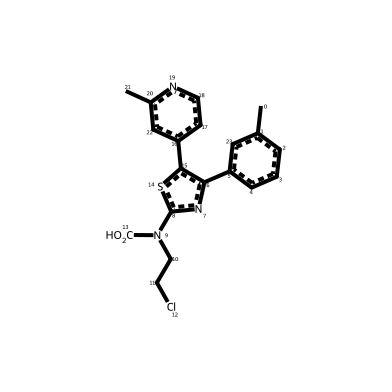 Cc1cccc(-c2nc(N(CCCl)C(=O)O)sc2-c2ccnc(C)c2)c1